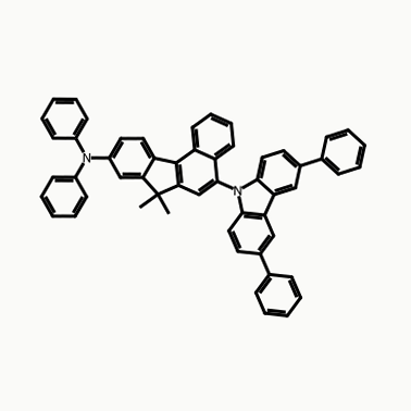 CC1(C)c2cc(N(c3ccccc3)c3ccccc3)ccc2-c2c1cc(-n1c3ccc(-c4ccccc4)cc3c3cc(-c4ccccc4)ccc31)c1ccccc21